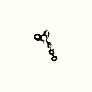 N#Cc1cc(-c2ccccc2)ccc1-n1cc(CN2CCOCC2c2ccccc2F)cn1